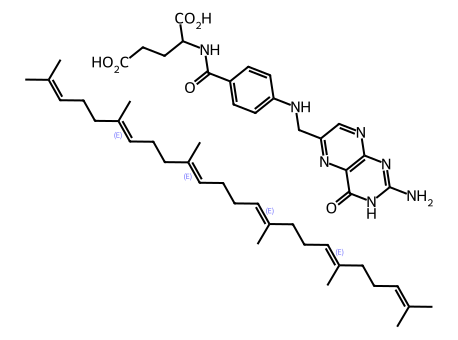 CC(C)=CCC/C(C)=C/CC/C(C)=C/CC/C=C(\C)CC/C=C(\C)CCC=C(C)C.Nc1nc2ncc(CNc3ccc(C(=O)NC(CCC(=O)O)C(=O)O)cc3)nc2c(=O)[nH]1